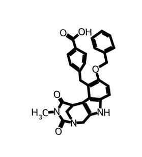 CN1C(=O)C2CN(Cc3[nH]c4ccc(OCc5ccccc5)c(Cc5ccc(C(=O)O)cc5)c4c32)C1=O